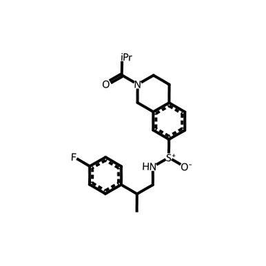 CC(C)C(=O)N1CCc2ccc([S+]([O-])NCC(C)c3ccc(F)cc3)cc2C1